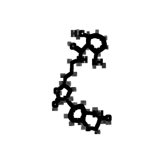 Cc1cccc(N)c1C(=O)NCCC[C@H]1CN(c2ccc3c(c2)NC(=O)CS3)C(=O)O1